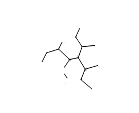 CCC(C)C(O[SiH3])C(C(C)CC)C(C)CC